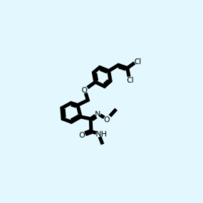 CNC(=O)C(=NOC)c1ccccc1COc1ccc(C=C(Cl)Cl)cc1